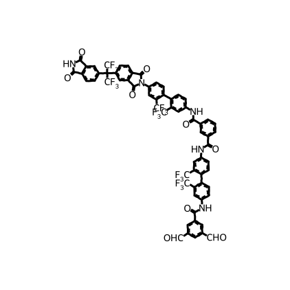 O=Cc1cc(C=O)cc(C(=O)Nc2ccc(-c3ccc(NC(=O)c4cccc(C(=O)Nc5ccc(-c6ccc(N7C(=O)c8ccc(C(c9ccc%10c(c9)C(=O)NC%10=O)(C(F)(F)F)C(F)(F)F)cc8C7=O)cc6C(F)(F)F)c(C(F)(F)F)c5)c4)cc3C(F)(F)F)c(C(F)(F)F)c2)c1